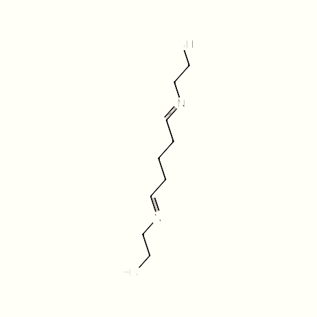 SCC/N=C/CCC/C=N/CCS